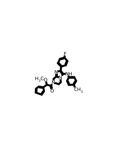 COC(C(=O)N1CCn2c(nc(-c3ccc(F)cc3)c2Nc2ccc(C)cc2)C1)c1ccccc1